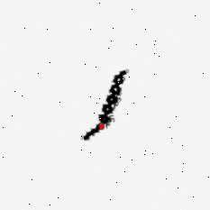 C=CC1CCC(C2CC=C(c3ccc(-c4ccc(-c5ccc(OCCCCCCC)c(F)c5F)cc4)c(F)c3F)CC2)CC1